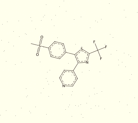 CS(=O)(=O)c1ccc(-c2sc(C(F)(F)F)nc2-c2ccncc2)cc1